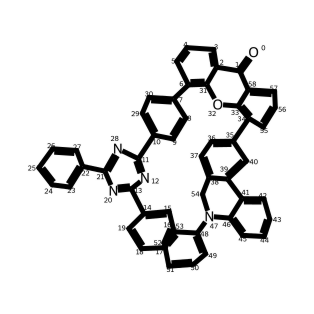 O=c1c2cccc(-c3ccc(-c4nc(-c5ccccc5)nc(-c5ccccc5)n4)cc3)c2oc2c(-c3ccc4c(c3)-c3ccccc3N(c3ccccc3)C4)cccc12